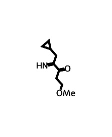 COCCC(=O)C(=N)CC1CC1